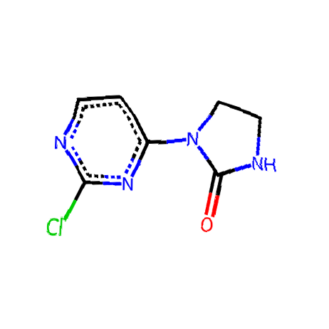 O=C1NCCN1c1ccnc(Cl)n1